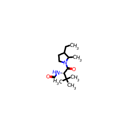 CCC1CCN(C(=O)[C@@H](NC=O)C(C)(C)C)C1C